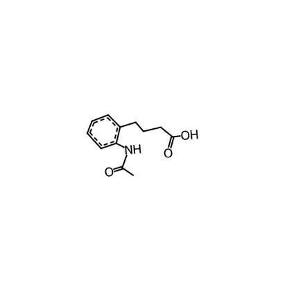 CC(=O)Nc1ccccc1CCCC(=O)O